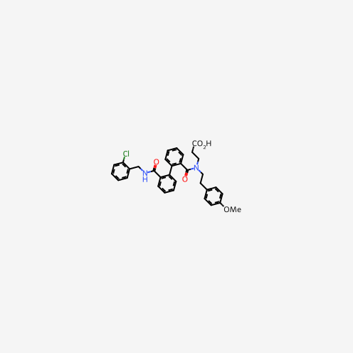 COc1ccc(CCN(CCC(=O)O)C(=O)c2ccccc2-c2ccccc2C(=O)NCc2ccccc2Cl)cc1